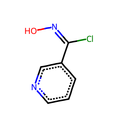 O/N=C(/Cl)c1cccnc1